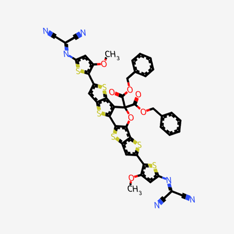 COc1cc(N=C(C#N)C#N)sc1-c1cc2sc3c(c2s1)OC(C(=O)OCc1ccccc1)(C(=O)OCc1ccccc1)c1c-3sc2cc(-c3sc(N=C(C#N)C#N)cc3OC)sc12